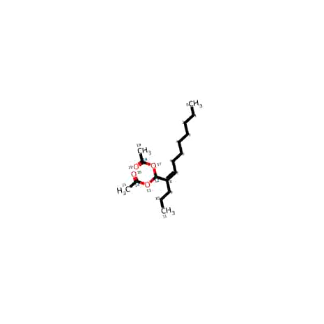 CCCCCCCC=C(CCC)C(OC(C)=O)OC(C)=O